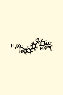 COCCN1NCc2ccc(-c3ccc(C(=O)N4CCN(C(=O)C5(O)CC5)CC4)cc3)cc21